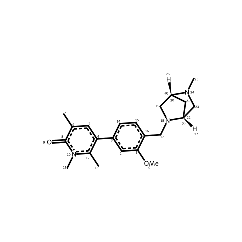 COc1cc(-c2cc(C)c(=O)n(C)c2C)ccc1CN1C[C@H]2C[C@@H]1CN2C